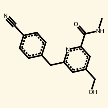 CNC(=O)c1cc(CO)cc(Cc2ccc(C#N)cc2)n1